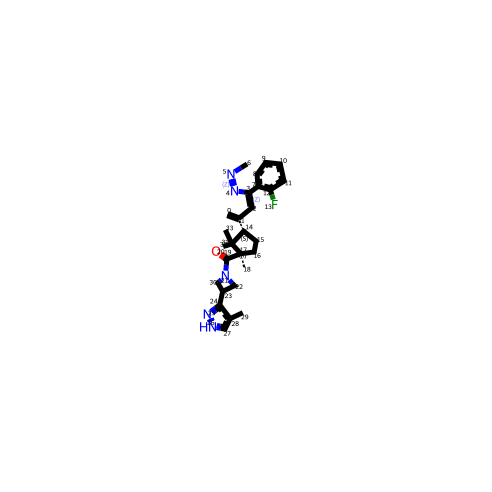 C=C(/C=C(\N=N/C)c1ccccc1F)[C@@H]1CC[C@@](C)(C(=O)N2CC(c3n[nH]cc3C)C2)C1(C)C